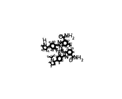 CC(C)N1CCCC1c1ccc(-c2nc3c(C(N)=O)cccc3n2F)c(F)c1.NC(=O)c1cc(F)cc2[nH]c(-c3ccc(C4CCCN4)cc3F)nc12